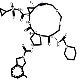 Cc1cccc2c1CN(C(=O)O[C@@H]1C[C@H]3C(=O)N[C@]4(C(=O)NS(=O)(=O)C5CC5)C[C@H]4/C=C\CCCCC[C@H](NC(=O)N4CCCCC4)C(=O)N3C1)C2